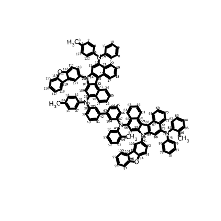 Cc1ccc(N(c2ccccc2)c2cc3c(c4ccccc24)c2c4ccccc4c(N(c4ccc(C)cc4)c4cccc(-c5cccc(N(c6ccccc6C)c6cc7c(c8ccccc68)c6c8ccccc8c(N(c8ccccc8)c8ccccc8C)cc6n7-c6ccc7oc8ccccc8c7c6)c5)c4)cc2n3-c2ccc3oc4ccccc4c3c2)cc1